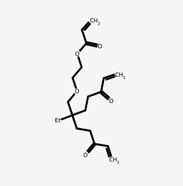 C=CC(=O)CCC(CC)(CCC(=O)C=C)COCCOC(=O)C=C